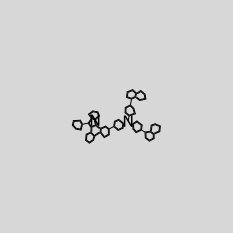 c1ccc(-c2c3c4ccccc4c4ccc(-c5ccc(N(c6ccc(-c7cccc8ccccc78)cc6)c6ccc(-c7cccc8ccccc78)cc6)cc5)cc4c3n3ccccc23)cc1